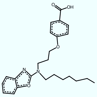 CCCCCCCN(CCCOc1ccc(C(=O)O)cc1)c1nc2ccccc2o1